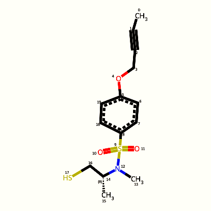 CC#CCOc1ccc(S(=O)(=O)N(C)[C@H](C)CS)cc1